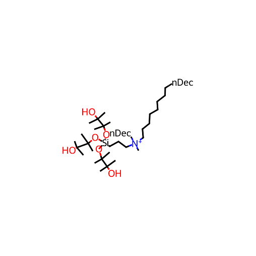 CCCCCCCCCCCCCCCCCC[N+](C)(CCCCCCCCCC)CCC[Si](OC(C)(C)C(C)(C)O)(OC(C)(C)C(C)(C)O)OC(C)(C)C(C)(C)O